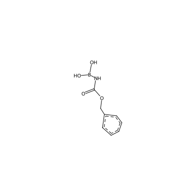 O=C(NB(O)O)OCc1ccccc1